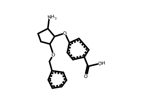 NC1CCC(OCc2ccccc2)C1Oc1ccc(C(=O)O)cc1